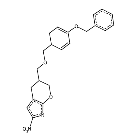 O=[N+]([O-])c1cn2c(n1)OCC(COCC1C=CC(OCc3ccccc3)=CC1)C2